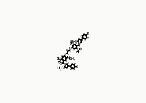 COc1cc(CN2C=C(c3ccc(F)cc3)C[C@H]2C)c([N+](=O)[O-])cc1OCCCOc1cc([N+](=O)[O-])c(C(=O)N2C=C(c3ccc(F)cc3)C[C@H]2C)cc1OC